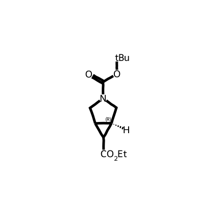 CCOC(=O)C1C2CN(C(=O)OC(C)(C)C)C[C@H]21